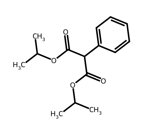 CC(C)OC(=O)C(C(=O)OC(C)C)c1ccccc1